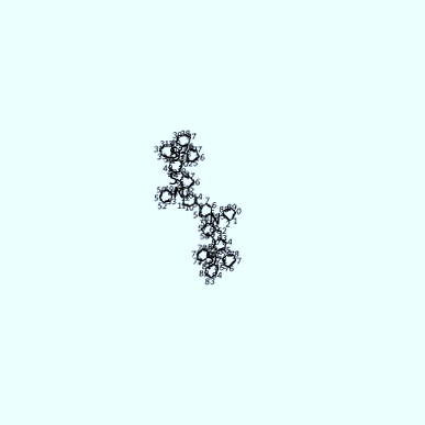 c1ccc(-n2c3ccc(-c4ccc5c(c4)c4ccc6c7cc([Si](c8ccccc8)(c8ccccc8)c8ccccc8)ccc7sc6c4n5-c4ccccc4)cc3c3ccc4c(c32)Cc2ccc([Si](c3ccccc3)(c3ccccc3)c3ccccc3)cc2-4)cc1